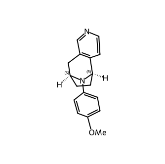 COc1ccc(N2[C@H]3CC[C@@H]2c2ccncc2C3)cc1